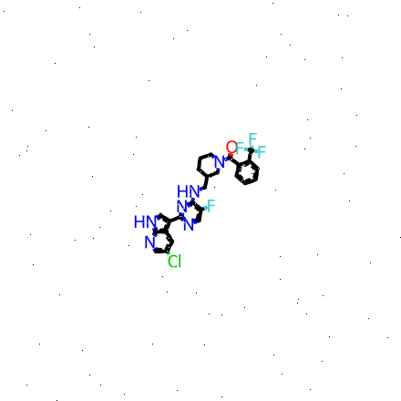 O=C(c1ccccc1C(F)(F)F)N1CCCC(CNc2nc(-c3c[nH]c4ncc(Cl)cc34)ncc2F)C1